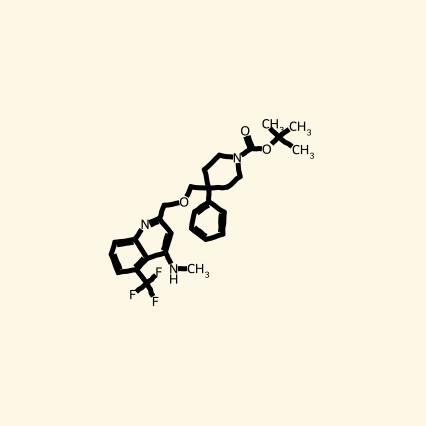 CNc1cc(COCC2(c3ccccc3)CCN(C(=O)OC(C)(C)C)CC2)nc2cccc(C(F)(F)F)c12